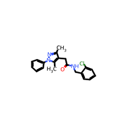 Cc1nn(-c2ccccc2)c(C)c1CC(=O)NCc1ccccc1Cl